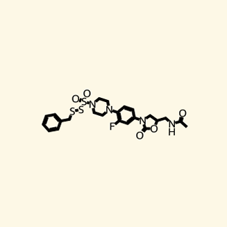 CC(=O)NCC1CN(c2ccc(N3CCN(S(=O)(=O)SSCc4ccccc4)CC3)c(F)c2)C(=O)O1